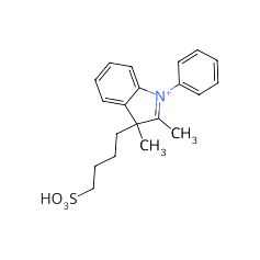 CC1=[N+](c2ccccc2)c2ccccc2C1(C)CCCCS(=O)(=O)O